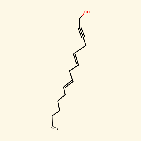 CCCCCC=CCC=CCC#CCO